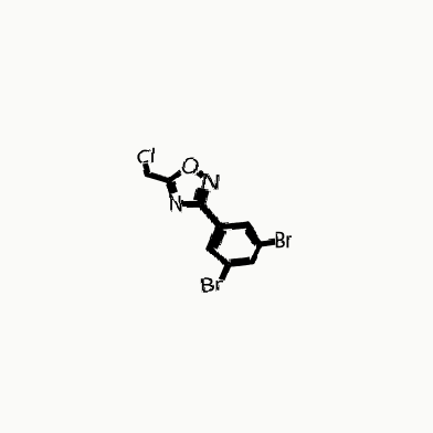 ClCc1nc(-c2cc(Br)cc(Br)c2)no1